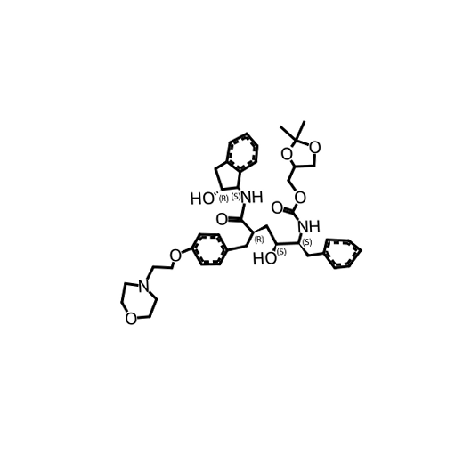 CC1(C)OCC(COC(=O)N[C@@H](Cc2ccccc2)[C@@H](O)C[C@@H](Cc2ccc(OCCN3CCOCC3)cc2)C(=O)N[C@H]2c3ccccc3C[C@H]2O)O1